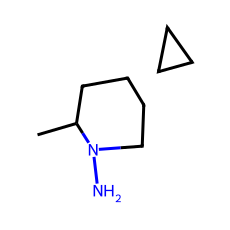 C1CC1.CC1CCCCN1N